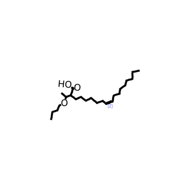 CCCCCCCC/C=C\CCCCCCC(C(=O)O)C(C)OCCCC